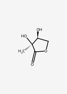 C[C@@]1(O)C(=O)OC[C@@H]1O